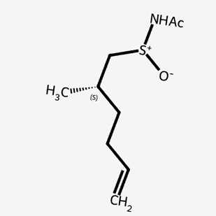 C=CCC[C@H](C)C[S+]([O-])NC(C)=O